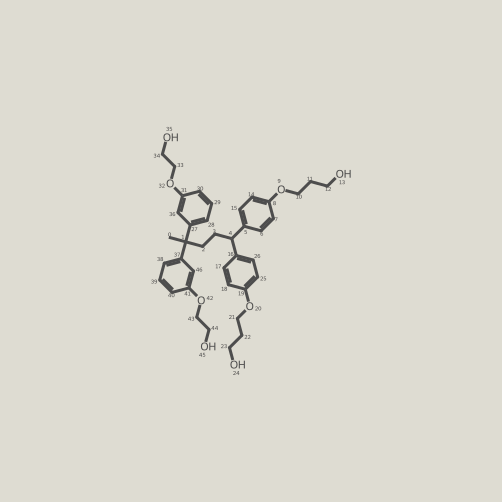 CC(CCC(c1ccc(OCCCO)cc1)c1ccc(OCCCO)cc1)(c1cccc(OCCO)c1)c1cccc(OCCO)c1